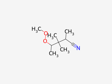 COOC(C)C(C)(C)C(C)C#N